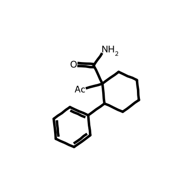 CC(=O)C1(C(N)=O)CCCCC1c1ccccc1